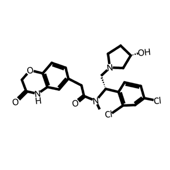 CN(C(=O)Cc1ccc2c(c1)NC(=O)CO2)[C@H](CN1CC[C@H](O)C1)c1ccc(Cl)cc1Cl